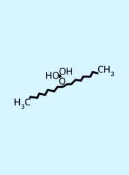 CCCCCCCCCCCCCCCCCC.O=C(O)O